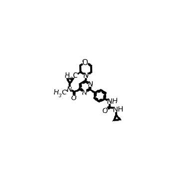 C[C@H]1COCCN1c1cc(C(=O)N(C)C2CC2)nc(-c2ccc(NC(=O)NC3CC3)cc2)n1